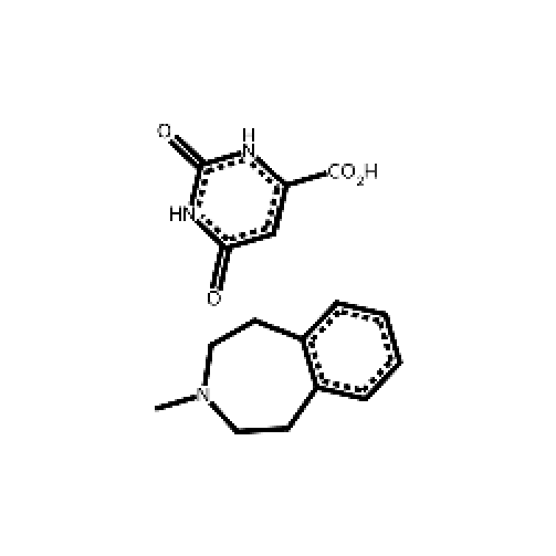 CN1CCc2ccccc2CC1.O=C(O)c1cc(=O)[nH]c(=O)[nH]1